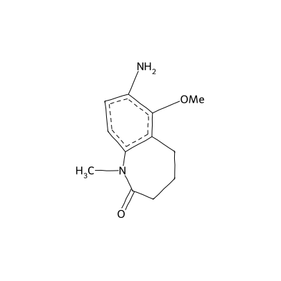 COc1c(N)ccc2c1CCCC(=O)N2C